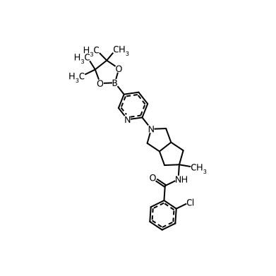 CC1(NC(=O)c2ccccc2Cl)CC2CN(c3ccc(B4OC(C)(C)C(C)(C)O4)cn3)CC2C1